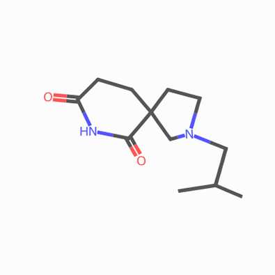 CC(C)CN1CCC2(CCC(=O)NC2=O)C1